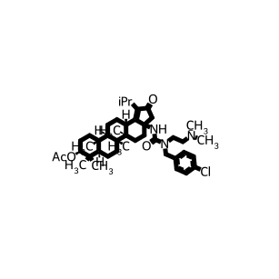 CC(=O)O[C@H]1CC[C@]2(C)[C@H]3CC[C@@H]4C5=C(C(C)C)C(=O)CC5(NC(=O)N(CCN(C)C)Cc5ccc(Cl)cc5)CC[C@@]4(C)[C@]3(C)CC[C@H]2C1(C)C